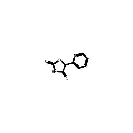 O=C1NC(=O)C(c2ccccn2)O1